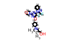 C/C(=C\O)CN(C)[C@H]1CC[C@H](COc2cc(-n3c(C(F)F)nc4ccccc43)nc(N3CCOCC3)n2)CC1